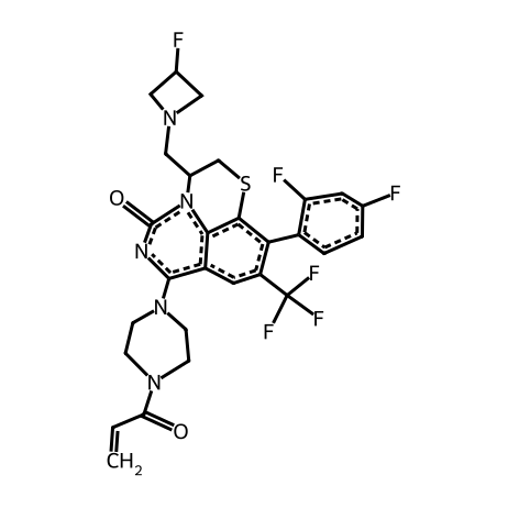 C=CC(=O)N1CCN(c2nc(=O)n3c4c(c(-c5ccc(F)cc5F)c(C(F)(F)F)cc24)SCC3CN2CC(F)C2)CC1